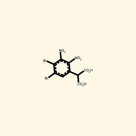 O=C(O)C(C(=O)O)c1cc(Br)c(Br)c([N+](=O)[O-])c1[N+](=O)[O-]